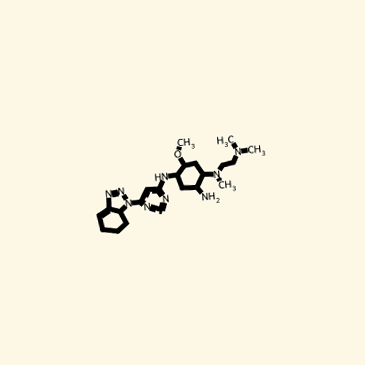 COC1CC(N(C)CCN(C)C)C(N)CC1Nc1cc(N2N=NC3=CCCCC32)ncn1